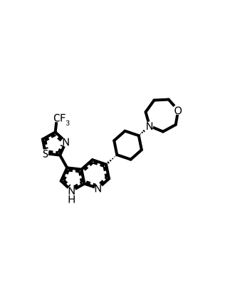 FC(F)(F)c1csc(-c2c[nH]c3ncc([C@H]4CC[C@@H](N5CCCOCC5)CC4)cc23)n1